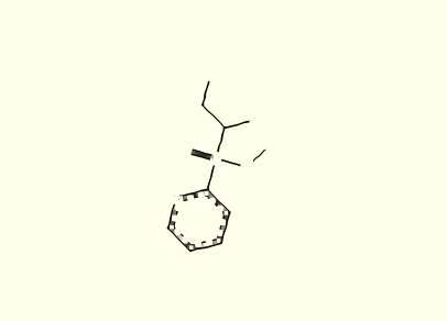 CCO[12C](=O)CC(O)P(=O)(OCC)c1ccccn1